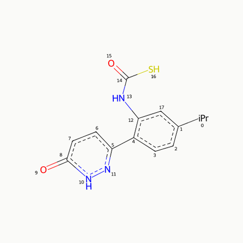 CC(C)c1ccc(-c2ccc(=O)[nH]n2)c(NC(=O)S)c1